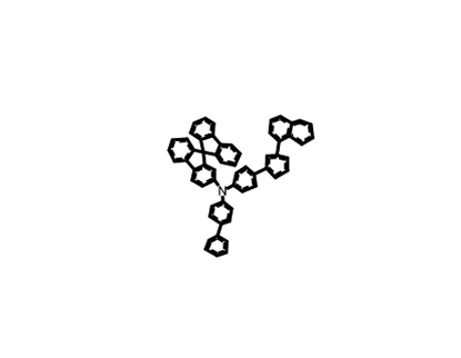 c1ccc(-c2ccc(N(c3ccc(-c4cccc(-c5cccc6ccccc56)c4)cc3)c3ccc4c(c3)C3(c5ccccc5-c5ccccc53)c3ccccc3-4)cc2)cc1